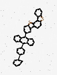 c1ccc(-c2ccc(-c3c4ccccc4c(-c4ccc5sc6c(ccc7sc8ccccc8c76)c5c4)c4ccccc34)cc2)cc1